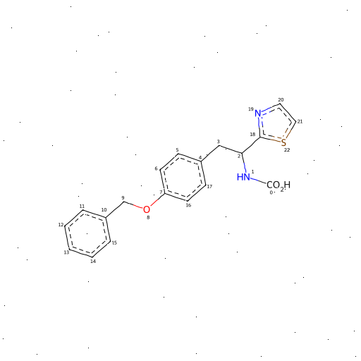 O=C(O)NC(Cc1ccc(OCc2ccccc2)cc1)c1nccs1